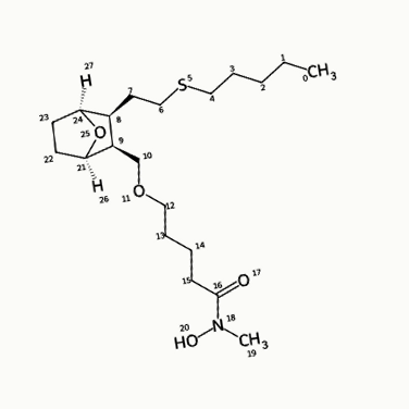 CCCCCSCC[C@H]1[C@@H](COCCCCC(=O)N(C)O)[C@H]2CC[C@@H]1O2